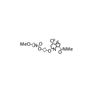 CNC(=O)c1csc2c(C(F)(F)F)cc(OC3CC(OC(=O)N4CC(OC)C4)C3)nc12